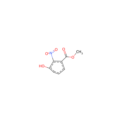 COC(=O)c1cccc(O)c1[N+](=O)[O-]